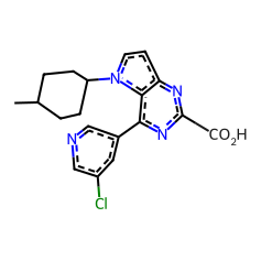 CC1CCC(n2ccc3nc(C(=O)O)nc(-c4cncc(Cl)c4)c32)CC1